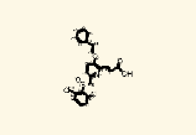 O=C(O)C=Cc1nc(C[S+]([O-])c2c(Cl)cccc2Cl)ccc1OCCc1ccccc1